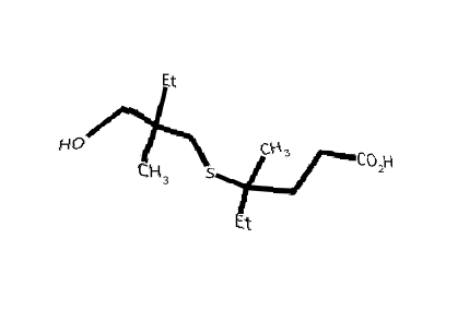 CCC(C)(CO)CSC(C)(CC)CCC(=O)O